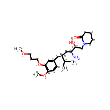 COCCCOc1cc(C[C@@H](C[C@H](N)[C@@H](O)CN2CCCCC2=O)C(C)C)ccc1OC